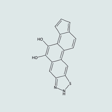 Oc1c(O)c2c3cccc3ccc2c2cc3s[nH]nc3cc12